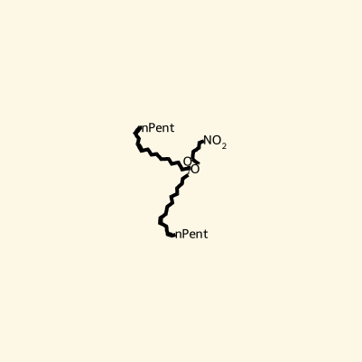 CCCCC/C=C\C/C=C\CCCCCCCCC[C@@]1(CCCCCCCC/C=C\C/C=C\CCCCC)OCC(CCC[N+](=O)[O-])O1